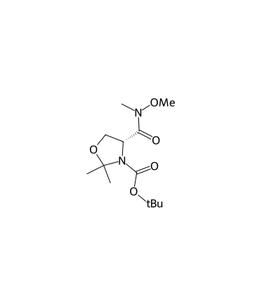 CON(C)C(=O)[C@H]1COC(C)(C)N1C(=O)OC(C)(C)C